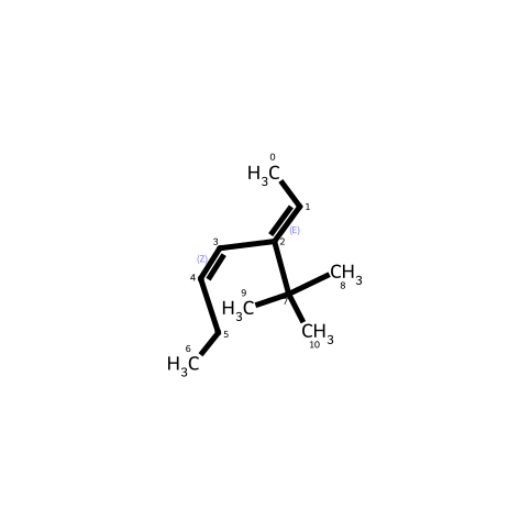 C/C=C(\C=C/CC)C(C)(C)C